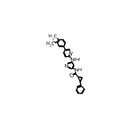 Cc1ccc(-c2ccc(Nc3cncc(NC(=O)C4CC4c4ccccc4)c3)nc2)cc1C